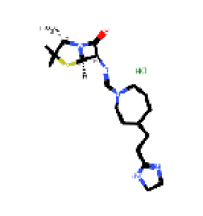 CC1(C)S[C@@H]2[C@H](N=CN3CCCC(CCC4=NCCN4)CC3)C(=O)N2[C@H]1C(=O)O.Cl